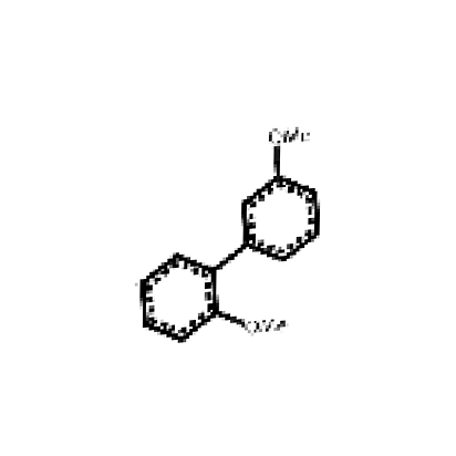 COc1cccc(-c2c[c]ccc2OC)c1